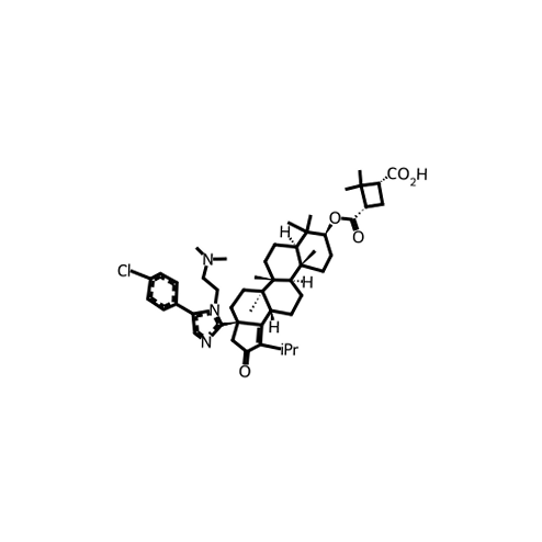 CC(C)C1=C2[C@H]3CC[C@@H]4[C@@]5(C)CC[C@H](OC(=O)[C@H]6C[C@@H](C(=O)O)C6(C)C)C(C)(C)[C@@H]5CC[C@@]4(C)[C@]3(C)CC[C@@]2(c2ncc(-c3ccc(Cl)cc3)n2CCN(C)C)CC1=O